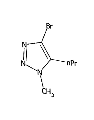 CCCc1c(Br)nnn1C